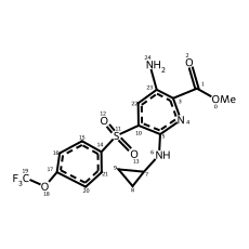 COC(=O)c1nc(NC2CC2)c(S(=O)(=O)c2ccc(OC(F)(F)F)cc2)cc1N